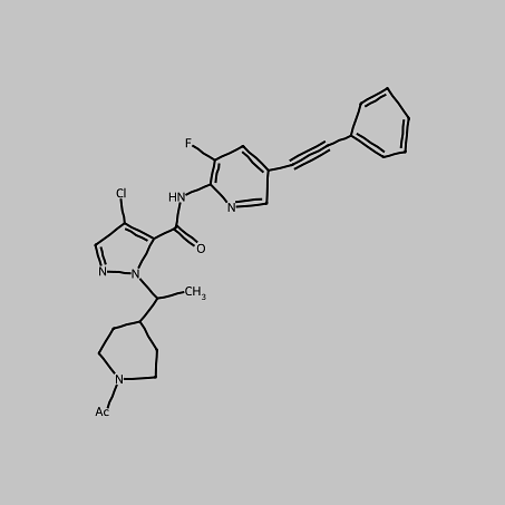 CC(=O)N1CCC(C(C)n2ncc(Cl)c2C(=O)Nc2ncc(C#Cc3ccccc3)cc2F)CC1